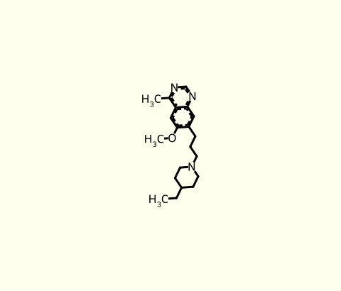 CCC1CCN(CCCc2cc3ncnc(C)c3cc2OC)CC1